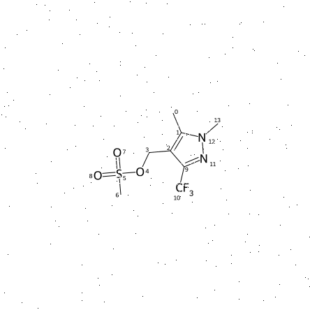 Cc1c(COS(C)(=O)=O)c(C(F)(F)F)nn1C